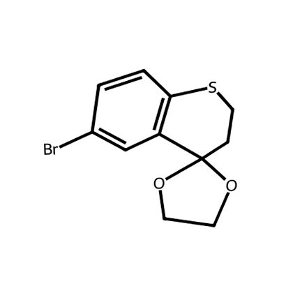 Brc1ccc2c(c1)C1(CCS2)OCCO1